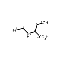 CC(C)CNC(CO)C(=O)O